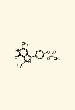 Cc1cc2c(c(C)nn2-c2ccc(OS(C)(=O)=O)cc2)c(=O)[nH]1